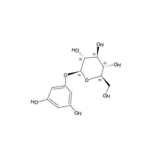 OC[C@H]1O[C@@H](Oc2cc(O)cc(O)c2)[C@H](O)[C@@H](O)[C@@H]1O